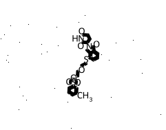 Cc1cccc(S(=O)(=O)OCCOCCSc2cccc3c2CN(C2CCC(=O)NC2=O)C3=O)c1